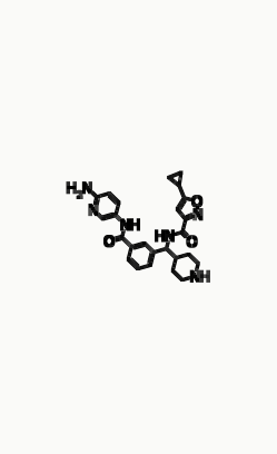 Nc1ccc(NC(=O)c2cccc(C(NC(=O)c3cc(C4CC4)on3)C3CCNCC3)c2)cn1